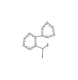 IC(I)c1ccccc1-c1ccccc1